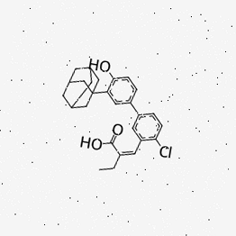 CCC(=Cc1cc(-c2ccc(O)c(C34CC5CC(CC(C5)C3)C4)c2)ccc1Cl)C(=O)O